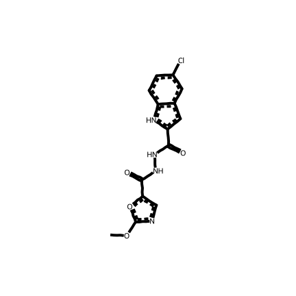 COc1ncc(C(=O)NNC(=O)c2cc3cc(Cl)ccc3[nH]2)o1